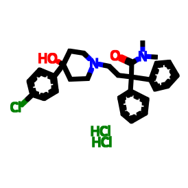 CN(C)C(=O)C(CCN1CCC(O)(c2ccc(Cl)cc2)CC1)(c1ccccc1)c1ccccc1.Cl.Cl